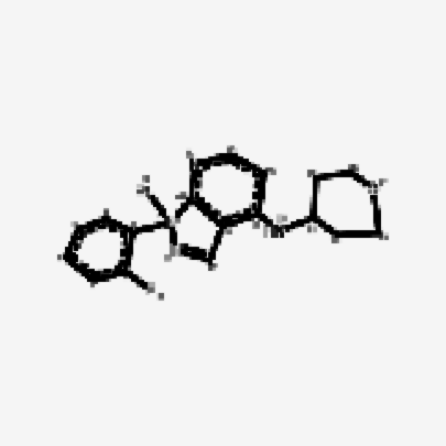 CC[N+]1(c2ccccc2F)N=Cc2c(NC3CCOCC3)ccnc21